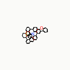 c1ccc(N(c2ccccc2-c2cccc3cccc(C4CCCCC4)c23)c2ccccc2-c2cccc3sc4ccccc4c23)c(-c2ccc3oc4ccccc4c3c2)c1